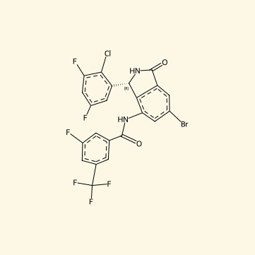 O=C(Nc1cc(Br)cc2c1[C@H](c1cc(F)cc(F)c1Cl)NC2=O)c1cc(F)cc(C(F)(F)F)c1